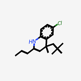 CCCC1CC(C)(CC(C)(C)C)c2cc(Cl)ccc2N1